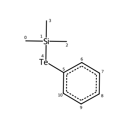 C[Si](C)(C)[Te]c1ccccc1